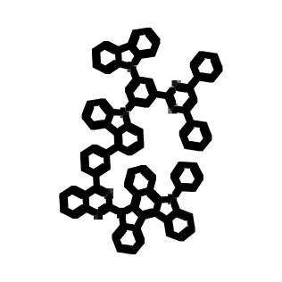 c1ccc(-c2cc(-c3ccccc3)nc(-c3cc(-n4c5ccccc5c5ccccc54)cc(-n4c5ccccc5c5c(-c6cccc(-c7nc(-n8c9ccccc9c9c%10c%11ccccc%11n(-c%11ccccc%11)c%10c%10ccccc%10c98)nc8ccccc78)c6)cccc54)c3)n2)cc1